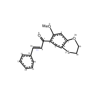 COc1cc2c(cc1C(=O)/C=C/c1ccccc1)SCCO2